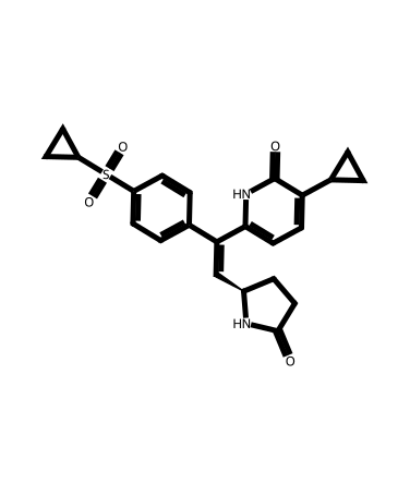 O=C1CC[C@H](/C=C(/c2ccc(S(=O)(=O)C3CC3)cc2)c2ccc(C3CC3)c(=O)[nH]2)N1